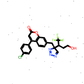 O=c1cc(-c2ccc(Cl)cc2)c2ccc(CC3(C(CCO)C(F)(F)F)C=NN=N3)cc2o1